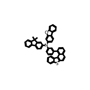 CC1(C)c2ccccc2-c2ccc(N(c3cccc(-c4cccc5ccc6sc7ccccc7c6c45)c3)c3ccc4c(c3)oc3ccccc34)cc21